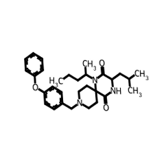 CCCC(C)N1C(=O)C(CC(C)C)NC(=O)C12CCN(Cc1ccc(Oc3ccccc3)cc1)CC2